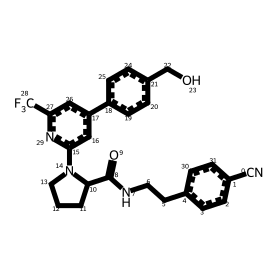 N#Cc1ccc(CCNC(=O)C2CCCN2c2cc(-c3ccc(CO)cc3)cc(C(F)(F)F)n2)cc1